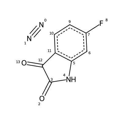 N#N.O=C1Nc2cc(F)ccc2C1=O